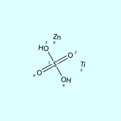 O=S(=O)(O)O.[Ti].[Zn]